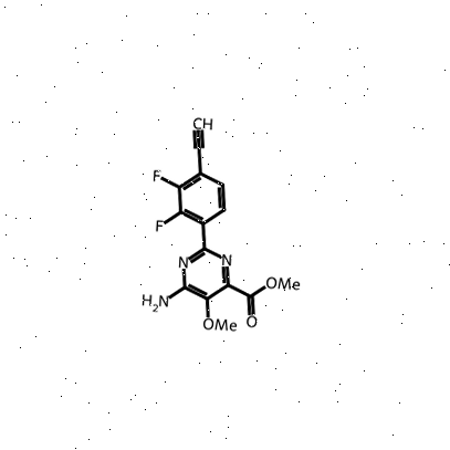 C#Cc1ccc(-c2nc(N)c(OC)c(C(=O)OC)n2)c(F)c1F